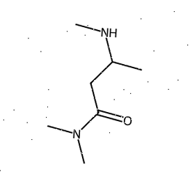 CNC(C)CC(=O)N(C)C